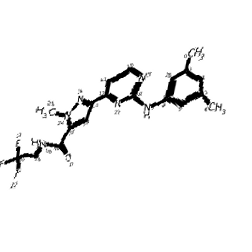 Cc1cc(C)cc(Nc2nccc(-c3cc(C(=O)NCC(F)(F)F)n(C)n3)n2)c1